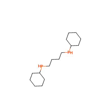 C1CCC(PCCCCPC2CCCCC2)CC1